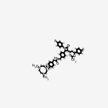 CN1CCN(C)CC[N+](C)(Cc2ccc(CC(=O)NCc3ccc(C4C(CCC(OC(=O)C(F)(F)F)c5ccc(F)cc5)C(=O)N4c4ccc(F)cc4)cc3)cc2)CC1